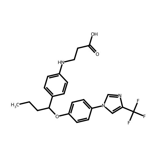 CCCC(Oc1ccc(-n2cnc(C(F)(F)F)c2)cc1)c1ccc(NCCC(=O)O)cc1